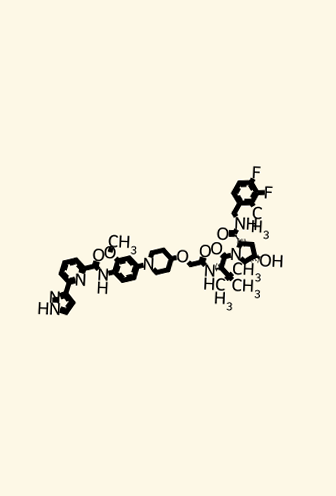 COc1cc(N2CCC(OCC(=O)N[C@H](C(=O)N3C[C@H](O)C[C@H]3C(=O)NCc3ccc(F)c(F)c3C)C(C)(C)C)CC2)ccc1NC(=O)c1cccc(-c2cc[nH]n2)n1